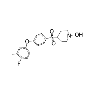 Cc1cc(Oc2ccc(S(=O)(=O)C3CCN(O)CC3)cc2)ccc1F